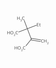 C=C(C(=O)O)C(C)(CC)C(=O)O